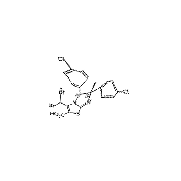 C[C@@]1(c2ccc(Cl)cc2)N=C2SC(C(=O)O)=C(C(Br)Br)N2[C@@H]1c1ccc(Cl)cc1